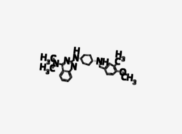 COc1ccc(CN[C@H]2CC[C@@H](Nc3nc(N(C)C)c4ccccc4n3)CC2)cc1C